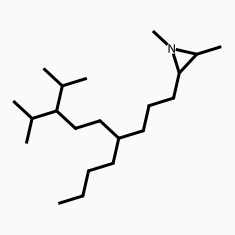 CCCCC(CCCC1C(C)N1C)CCC(C(C)C)C(C)C